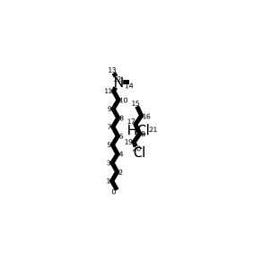 CCCCCCCCCCCCN(C)C.CCCCCCl.Cl